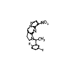 CC(c1cc(F)ccc1F)N1CCc2cn3ncc([N+](=O)[O-])c3nc21